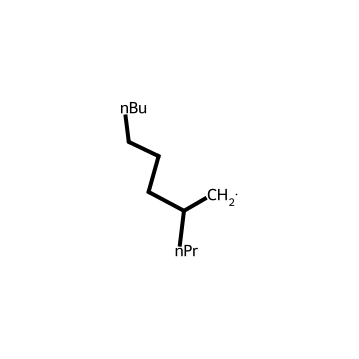 [CH2]C(CCC)CCCCCCC